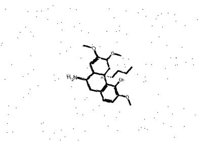 CCCC[C@@]12CC(OC)C(OC)=CC1C(N)Cc1ccc(OC)c(O)c12